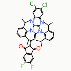 CC(C)c1cccc(C(C)C)c1N1C(=CC=C2C(=O)c3cc(F)c(F)cc3C2=O)N(c2c(C(C)C)cccc2C(C)C)c2nc3cc(Cl)c(Cl)cc3nc21